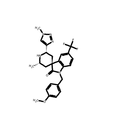 COc1ccc(CN2C(=O)[C@@]3(C[C@@H](c4cn(C)nn4)N[C@@H](C)C3)c3cc(C(F)(F)F)ccc32)cc1